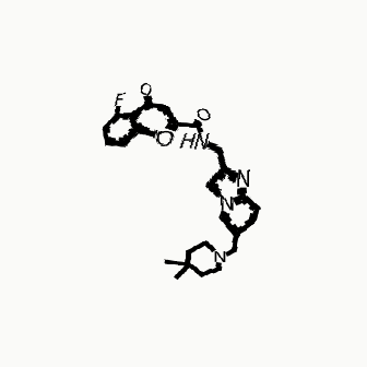 CC1(C)CCN(Cc2ccc3nc(CNC(=O)c4cc(=O)c5c(F)cccc5o4)cn3c2)CC1